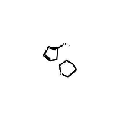 C1CCOCC1.[AlH2][C]1=CC=CC1